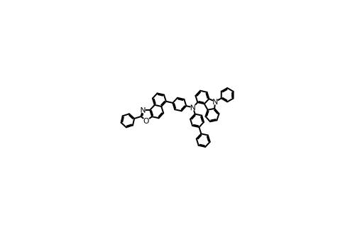 c1ccc(-c2ccc(N(c3ccc(-c4cccc5c4ccc4oc(-c6ccccc6)nc45)cc3)c3cccc4c3c3ccccc3n4-c3ccccc3)cc2)cc1